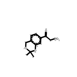 CC1(C)OCc2ccc(C(=O)C[N+](=O)[O-])cc2O1